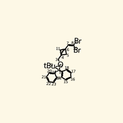 CC(C)(C)[Si](OCC12CC(C=C(Br)Br)(C1)C2)(c1ccccc1)c1ccccc1